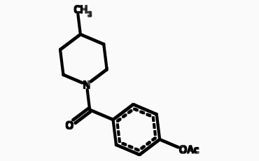 CC(=O)Oc1ccc(C(=O)N2CCC(C)CC2)cc1